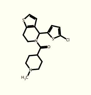 CN1CCC(C(=O)N2CCc3sccc3C2c2ccc(Cl)s2)CC1